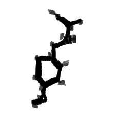 COc1ccc(CNC(C)=S)cc1